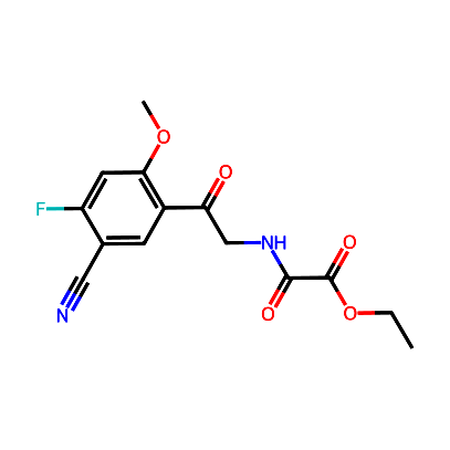 CCOC(=O)C(=O)NCC(=O)c1cc(C#N)c(F)cc1OC